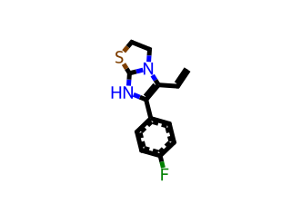 C=CC1=C(c2ccc(F)cc2)NC2SCCN12